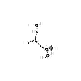 CC(=O)CCNC(=O)CN(CC(=O)NCCCC(=O)NCCO[C@@H]1O[C@@H](C)[C@@H](O)[C@@H](O)[C@@H]1O)CC(=O)NCCCC(=O)NCCO[C@H]1O[C@H](CO[C@H]2O[C@H](CO)[C@@H](O)[C@H](O)[C@@H]2O)[C@@H](O)[C@H](O[C@H]2O[C@H](CO)[C@@H](O)[C@H](O)[C@@H]2O)[C@@H]1O